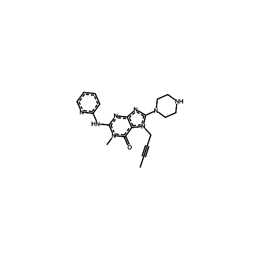 CC#CCn1c(N2CCNCC2)nc2nc(Nc3ccccn3)n(C)c(=O)c21